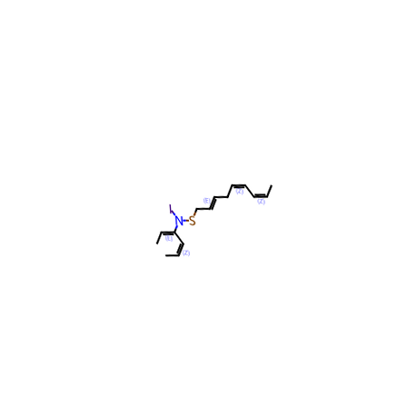 C/C=C\C=C/C/C=C/CSN(I)C(/C=C\C)=C/C